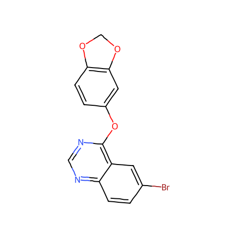 Brc1ccc2ncnc(Oc3ccc4c(c3)OCO4)c2c1